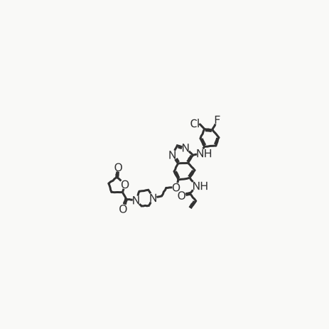 C=CC(=O)Nc1cc2c(Nc3ccc(F)c(Cl)c3)ncnc2cc1OCCN1CCN(C(=O)C2CCC(=O)O2)CC1